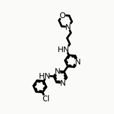 Clc1cccc(Nc2cncc(-c3cncc(NCCCN4CCOCC4)c3)n2)c1